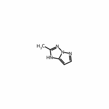 Cc1nn2nccc2[nH]1